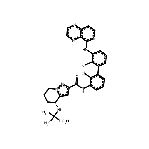 CC(C)(N[C@@H]1CCCn2nc(C(=O)Nc3cccc(-c4cccc(Nc5nccc6nccnc56)c4Cl)c3Cl)cc21)C(=O)O